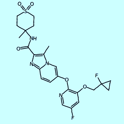 Cc1c(C(=O)NC2(C)CCS(=O)(=O)CC2)nc2ccc(Oc3ncc(F)cc3OCC3(F)CC3)cn12